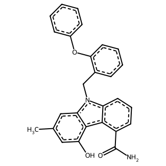 Cc1cc(O)c2c3c(C(N)=O)cccc3n(Cc3ccccc3Oc3ccccc3)c2c1